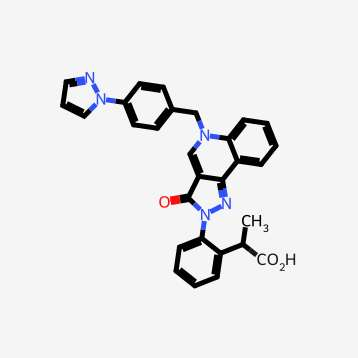 CC(C(=O)O)c1ccccc1-n1nc2c3ccccc3n(Cc3ccc(-n4cccn4)cc3)cc-2c1=O